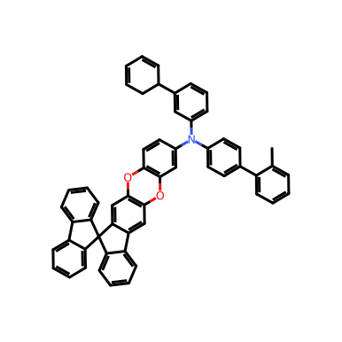 Cc1ccccc1-c1ccc(N(c2cccc(C3C=CC=CC3)c2)c2ccc3c(c2)Oc2cc4c(cc2O3)C2(c3ccccc3-c3ccccc32)c2ccccc2-4)cc1